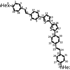 CCCCCCc1ccc(/C=C/c2ccc(-c3ccc(-c4ccc(-c5ccc(/C=C/c6ccc(CCCCCC)cc6)cc5)s4)s3)cc2)cc1